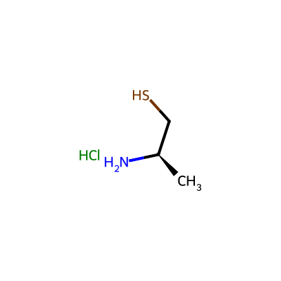 C[C@@H](N)CS.Cl